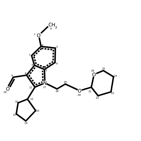 COc1ccc2c(c1)c(C=O)c(C1CCCC1)n2CCOC1CCCCO1